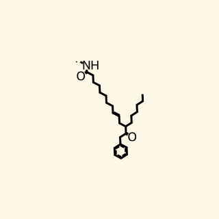 [CH2]NC(=O)CCCCCCCC=CCC(CCCCCC)C(=O)Cc1ccccc1